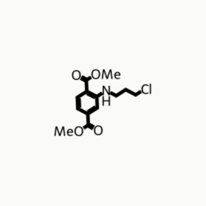 COC(=O)c1ccc(C(=O)OC)c(NCCCCl)c1